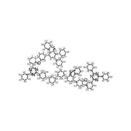 C1=CC2c3ccc(-c4cc(-c5ccccc5-c5ccccc5)cc5sc6ccccc6c45)cc3OC2C(c2nc(-c3ccccc3)nc(-c3ccc(-c4cccc(-c5cccc(-c6ccc(-c7ccc8c(c7)oc7c(-c9nc(-c%10ccccc%10)nc(-c%10ccccc%10)n9)cccc78)c7c6sc6ccccc67)c5)c4)cc3)n2)=C1